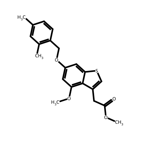 COC(=O)Cc1csc2cc(OCc3ccc(C)cc3C)cc(OC)c12